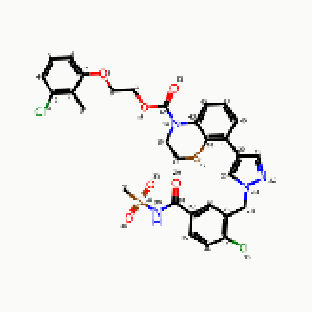 Cc1c(Cl)cccc1OCCOC(=O)N1CCSc2c(-c3cnn(Cc4cc(C(=O)NS(C)(=O)=O)ccc4Cl)c3)cccc21